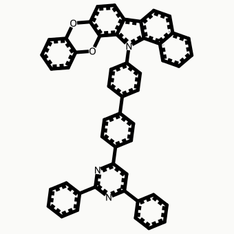 c1ccc(-c2cc(-c3ccc(-c4ccc(-n5c6c7c(ccc6c6ccc8ccccc8c65)Oc5ccccc5O7)cc4)cc3)nc(-c3ccccc3)n2)cc1